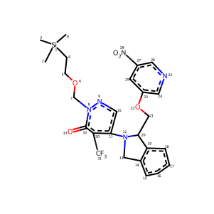 C[Si](C)(C)CCOCn1ncc(N2Cc3ccccc3C2COc2cncc([N+](=O)[O-])c2)c(C(F)(F)F)c1=O